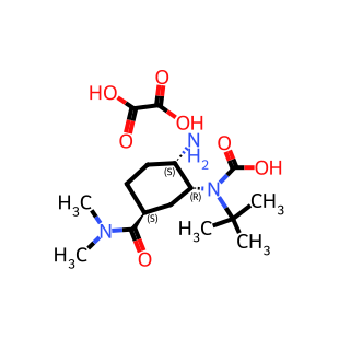 CN(C)C(=O)[C@H]1CC[C@H](N)[C@H](N(C(=O)O)C(C)(C)C)C1.O=C(O)C(=O)O